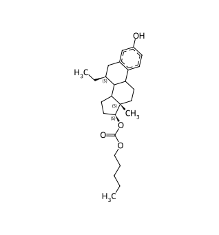 CCCCCOC(=O)O[C@H]1CCC2C3C(CC[C@@]21C)c1ccc(O)cc1C[C@@H]3CC